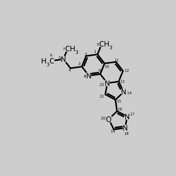 Cc1cc(CN(C)C)nc2c1ccc1nc(-c3nnco3)cn12